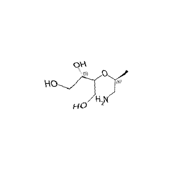 C[C@@H](CN)OC(CO)[C@@H](O)CO